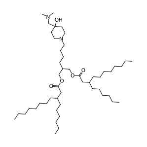 CCCCCCCCC(CCCCCC)CC(=O)OCC(CCCCN1CCC(O)(CN(C)C)CC1)COC(=O)CC(CCCCCC)CCCCCCCC